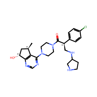 C[C@@H]1C[C@@H](O)c2ncnc(N3CCN(C(=O)[C@H](CNC4CCNC4)c4ccc(Cl)cc4)CC3)c21